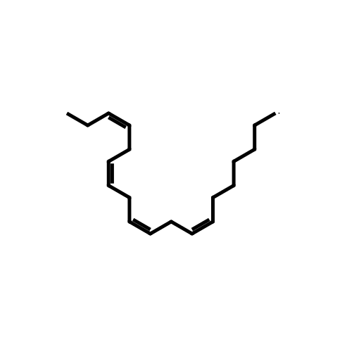 [CH2]CCCCC/C=C\C/C=C\C/C=C\C/C=C\CC